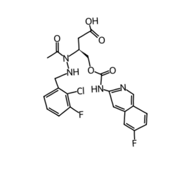 CC(=O)N(NCc1cccc(F)c1Cl)[C@H](COC(=O)Nc1cc2cc(F)ccc2cn1)CC(=O)O